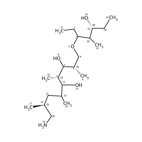 CCC(OC[C@H](C)C(O)[C@@H](C)C(O)C(C)C[C@H](C)CN)C(C)[C@H](O)CC